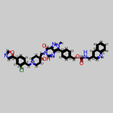 Cn1nc2c(=O)n(CC3(O)CCN(Cc4ccc(-c5cnco5)cc4Cl)CC3)cnc2c1-c1ccc(COC(=O)NCc2cnc3ccccc3c2)cc1